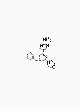 Nc1ncc(-c2cc(Cc3ccccc3)cc(N3CCOCC3)n2)cn1